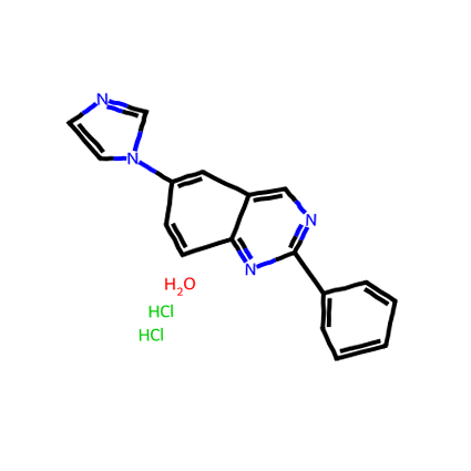 Cl.Cl.O.c1ccc(-c2ncc3cc(-n4ccnc4)ccc3n2)cc1